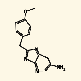 COc1ccc(CC2=NC3=NC=C(N)CC3=N2)cc1